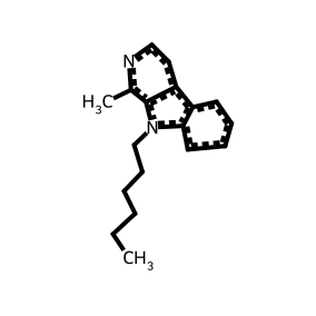 CCCCCCn1c2ccccc2c2ccnc(C)c21